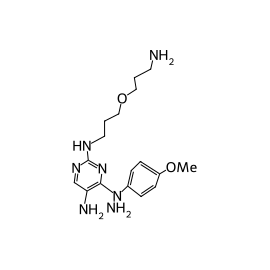 COc1ccc(N(N)c2nc(NCCCOCCCN)ncc2N)cc1